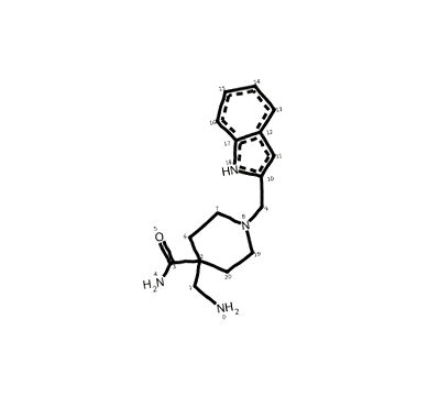 NCC1(C(N)=O)CCN(Cc2cc3ccccc3[nH]2)CC1